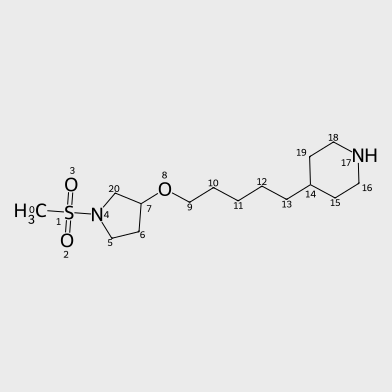 CS(=O)(=O)N1CCC(OCCCCCC2CCNCC2)C1